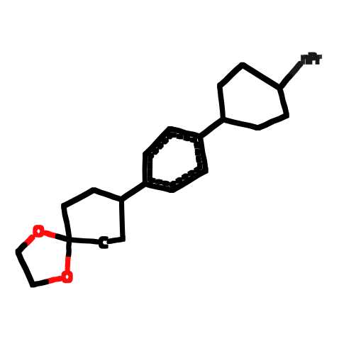 CCCC1CCC(c2ccc(C3CCC4(CC3)OCCO4)cc2)CC1